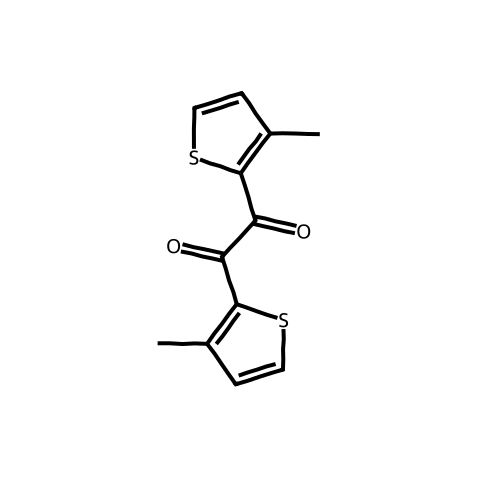 Cc1ccsc1C(=O)C(=O)c1sccc1C